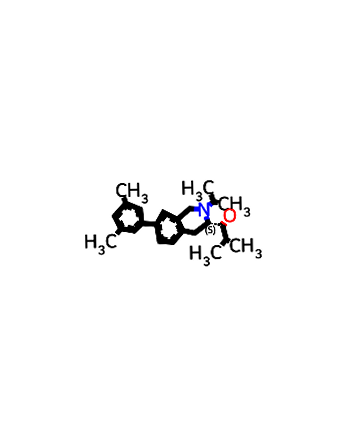 Cc1cc(C)cc(-c2ccc3c(c2)CN(C(C)C)[C@H](C(=O)C(C)C)C3)c1